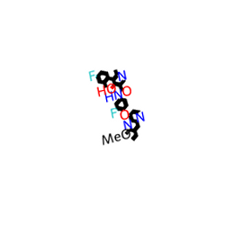 C=Cc1cc2nccc(Oc3ccc(NC(=O)c4cnc(C)c(-c5ccc(F)cc5C)c4O)cc3F)c2nc1OC